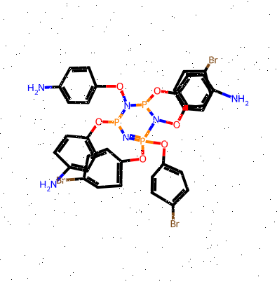 Nc1ccc(ON2P(Oc3ccc(N)cc3)N=P(Oc3ccc(Br)cc3)(Oc3ccc(Br)cc3)N(Oc3ccc(Br)cc3)P2Oc2ccc(N)cc2)cc1